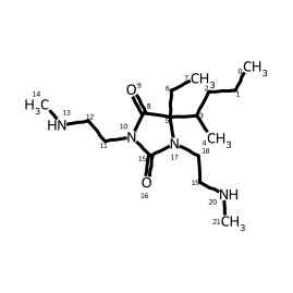 CCCC(C)C1(CC)C(=O)N(CCNC)C(=O)N1CCNC